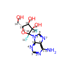 Nc1ncnc2c1ncn2[C@]1(F)O[C@H](CO)[C@@H](O)[C@]1(O)F